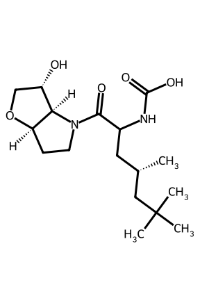 C[C@@H](CC(NC(=O)O)C(=O)N1CC[C@H]2OC[C@H](O)[C@H]21)CC(C)(C)C